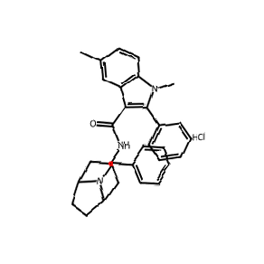 Cc1ccc2c(c1)c(C(=O)NC1CC3CCC(C1)N3Cc1ccccc1)c(-c1ccccc1)n2C.Cl